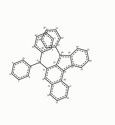 c1ccc(N(c2ccccc2)c2cc3ccccc3c3c4ccccc4n(-c4ccccc4)c23)cc1